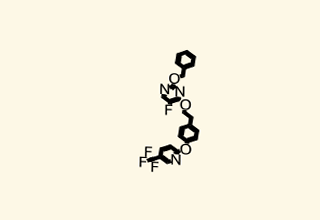 Fc1cnc(OCc2ccccc2)nc1OCCc1ccc(Oc2ccc(C(F)(F)F)cn2)cc1